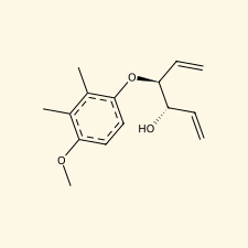 C=C[C@H](Oc1ccc(OC)c(C)c1C)[C@@H](O)C=C